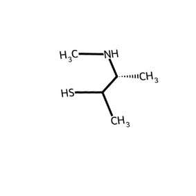 CN[C@H](C)C(C)S